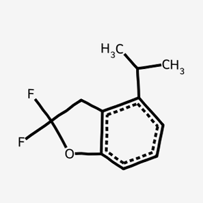 CC(C)c1cccc2c1CC(F)(F)O2